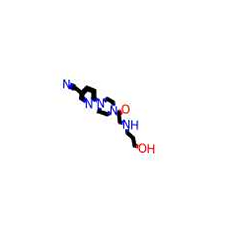 N#Cc1ccc(N2CCN(C(=O)CNCCCO)CC2)nc1